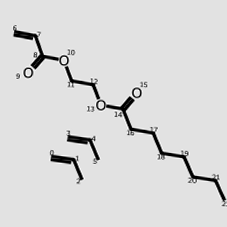 C=CC.C=CC.C=CC(=O)OCCOC(=O)CCCCCCC